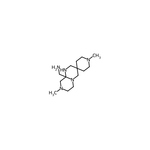 CN1CCC2(CC1)CNC1(CN)CN(C)CCN1C2